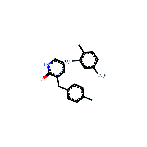 Cc1ccc(C(=O)O)cc1C(=O)O.Cc1ccc(Cc2ccc[nH]c2=O)cc1